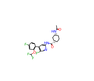 CC(=O)N[C@@H]1CCC[C@H](C(=O)Nc2cc(-c3ccc(F)cc3OC(F)F)c(F)cn2)C1